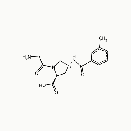 Cc1cccc(C(=O)N[C@@H]2C[C@@H](C(=O)O)N(C(=O)CN)C2)c1